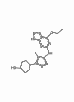 CCOc1nc(Nc2cnn(C3CCC(O)CC3)c2C)nc2[nH]ccc12